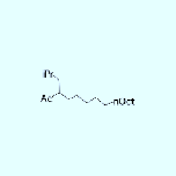 CCCCCCCCCCCCCC(CC(C)C)C(C)=O